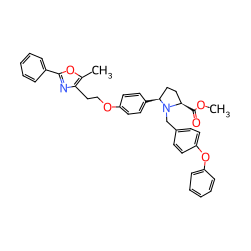 COC(=O)[C@@H]1CC[C@H](c2ccc(OCCc3nc(-c4ccccc4)oc3C)cc2)N1Cc1ccc(Oc2ccccc2)cc1